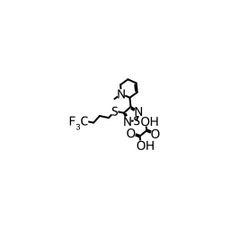 CN1CCC=CC1c1nsnc1SCCCC(F)(F)F.O=C(O)C(=O)O